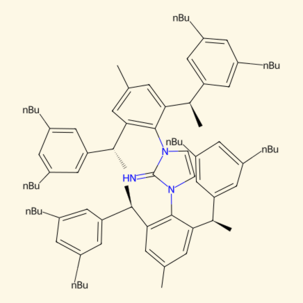 CCCCc1cc(CCCC)cc([C@@H](C)c2cc(C)cc([C@H](C)c3cc(CCCC)cc(CCCC)c3)c2-n2ccn(-c3c([C@H](C)c4cc(CCCC)cc(CCCC)c4)cc(C)cc3[C@H](C)c3cc(CCCC)cc(CCCC)c3)c2=N)c1